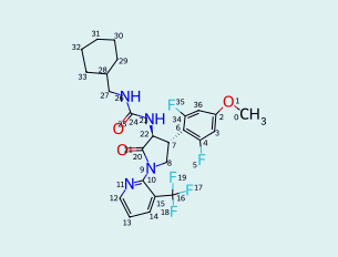 COc1cc(F)c([C@@H]2CN(c3ncccc3C(F)(F)F)C(=O)[C@H]2NC(=O)NCC2CCCCC2)c(F)c1